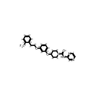 O=C(Nc1cnccn1)N1CCC(Oc2cccc(OCCc3ccccc3C(F)(F)F)c2)CC1